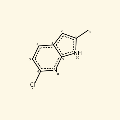 Cc1cc2ccc(Cl)nc2[nH]1